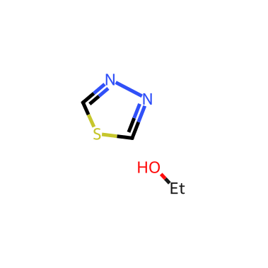 CCO.c1nncs1